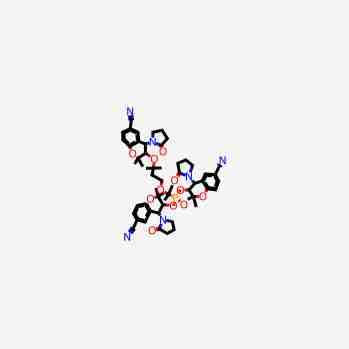 CC(C)(CCOC(C)(C)P(=O)(OC1C(N2CCCC2=O)c2cc(C#N)ccc2OC1(C)C)OC1C(N2CCCC2=O)c2cc(C#N)ccc2OC1(C)C)OC1C(N2CCCC2=O)c2cc(C#N)ccc2OC1(C)C